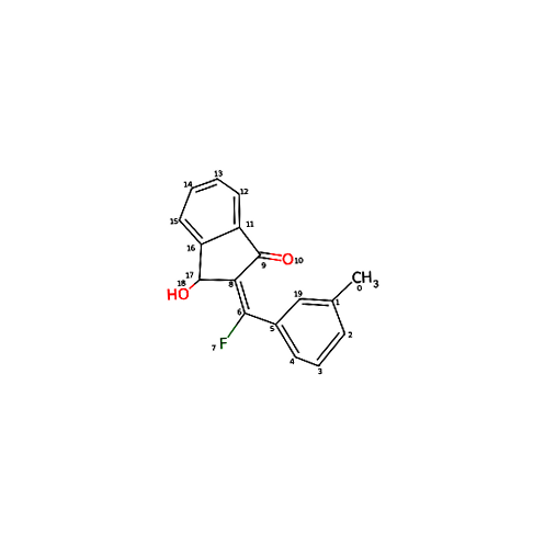 Cc1cccc(/C(F)=C2\C(=O)c3ccccc3C2O)c1